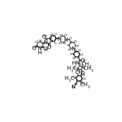 Cc1cc(O[C@H]2C(C)(C)[C@H](NC(=O)c3ccc(N4CCC(CN5CCN(c6ccc7c(c6)C(=O)N(C6CCC(=O)NC6=O)C7=O)CC5)CC4)cc3)C2(C)C)cc(C)c1C#N